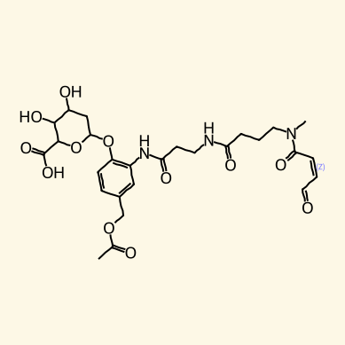 CC(=O)OCc1ccc(OC2CC(O)C(O)C(C(=O)O)O2)c(NC(=O)CCNC(=O)CCCN(C)C(=O)/C=C\C=O)c1